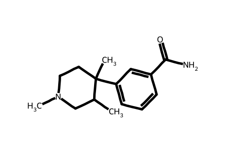 CC1CN(C)CCC1(C)c1cccc(C(N)=O)c1